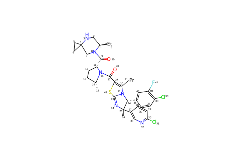 CC[C@@H]1CNC2(CC2)CN1C(=O)[C@H]1CC[C@@H](C)N1C(=O)C1=C(C(C)C)N2C(=N[C@@](C)(c3ccc(Cl)nc3)[C@H]2c2ccc(Cl)c(F)c2)S1